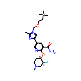 Cc1nc(-c2cnc(O[C@@H]3CCN(C)C[C@@H]3F)c(C(N)=O)c2)cn1COCC[Si](C)(C)C